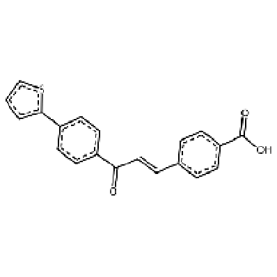 O=C(O)c1ccc(C=CC(=O)c2ccc(-c3cccs3)cc2)cc1